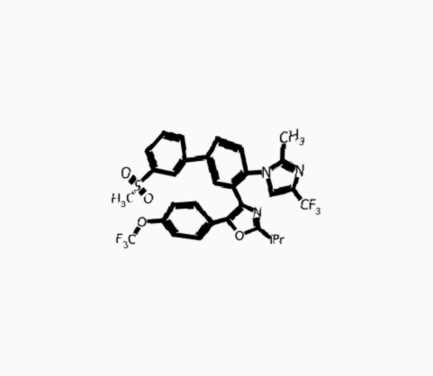 Cc1nc(C(F)(F)F)cn1-c1ccc(-c2cccc(S(C)(=O)=O)c2)cc1-c1nc(C(C)C)oc1-c1ccc(OC(F)(F)F)cc1